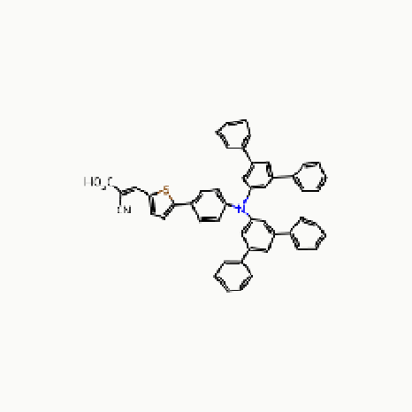 N#C/C(=C\c1ccc(-c2ccc(N(c3cc(-c4ccccc4)cc(-c4ccccc4)c3)c3cc(-c4ccccc4)cc(-c4ccccc4)c3)cc2)s1)C(=O)O